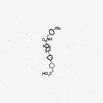 CC(C)(C)c1ccc(CNC(=O)c2cn3cc(-c4ccc(C5CCC(CC(=O)O)CC5)cc4)sc3n2)cc1